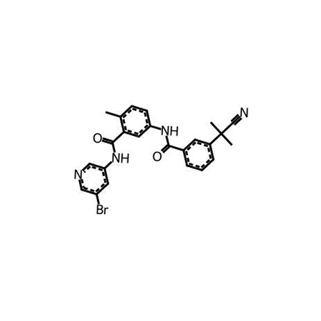 Cc1ccc(NC(=O)c2cccc(C(C)(C)C#N)c2)cc1C(=O)Nc1cncc(Br)c1